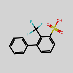 O=S(=O)(O)c1cccc(-c2ccccc2)c1C(F)(F)F